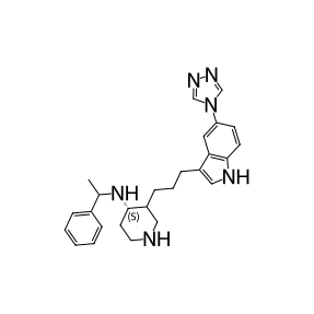 CC(N[C@H]1CCNCC1CCCc1c[nH]c2ccc(-n3cnnc3)cc12)c1ccccc1